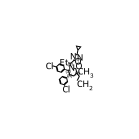 C=CC[C@@]1(C)C[C@H](c2cccc(Cl)c2)[C@@H](c2ccc(Cl)cc2)N([C@@H](CC)c2nc(C3CC3)no2)C1=O